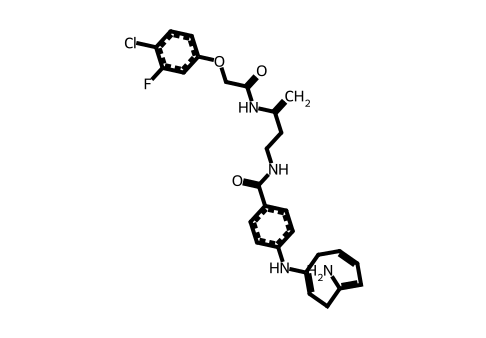 C=C(CCNC(=O)c1ccc(N/C2=C/C/C(N)=C/C=C\C2)cc1)NC(=O)COc1ccc(Cl)c(F)c1